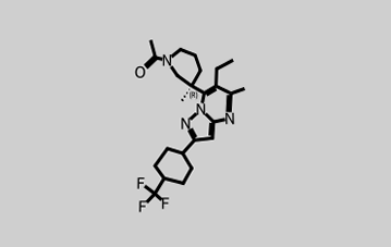 CCc1c(C)nc2cc(C3CCC(C(F)(F)F)CC3)nn2c1[C@]1(C)CCCN(C(C)=O)C1